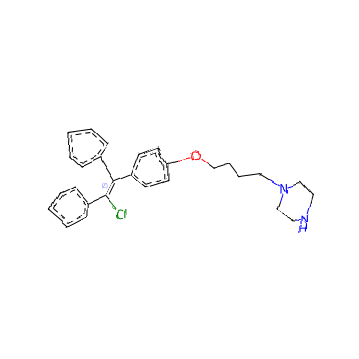 Cl/C(=C(/c1ccccc1)c1ccc(OCCCCN2CCNCC2)cc1)c1ccccc1